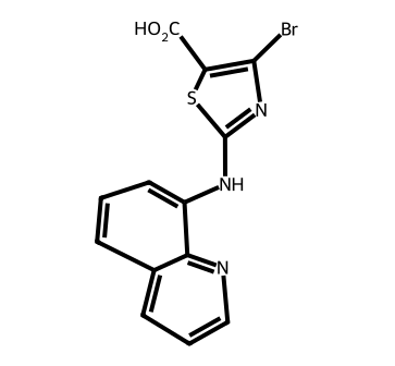 O=C(O)c1sc(Nc2cccc3cccnc23)nc1Br